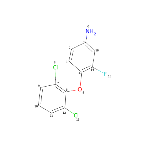 Nc1ccc(Oc2c(Cl)cccc2Cl)c(F)c1